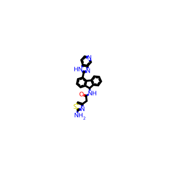 Nc1nc(CC(=O)NC2c3ccccc3-c3c(-c4nc5cnccc5[nH]4)cccc32)cs1